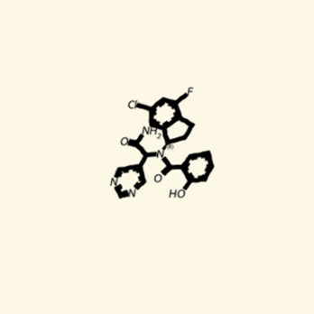 NC(=O)C(c1cncnc1)N(C(=O)c1ccccc1O)[C@@H]1CCc2c(F)cc(Cl)cc21